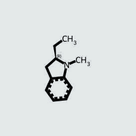 CC[C@@H]1Cc2ccccc2N1C